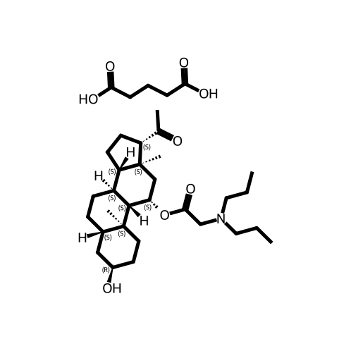 CCCN(CCC)CC(=O)O[C@H]1C[C@]2(C)[C@@H](C(C)=O)CC[C@H]2[C@@H]2CC[C@H]3C[C@H](O)CC[C@]3(C)[C@H]21.O=C(O)CCCC(=O)O